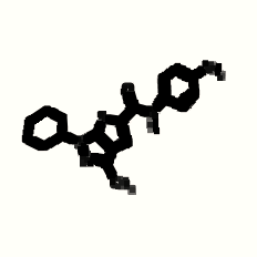 Cc1nn(C2CCCCC2)c2sc(C(=O)Nc3ccc(N)cc3)cc12